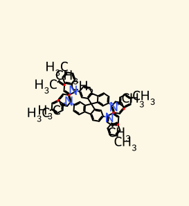 C=C/C(=C\C=C(C)C)N(c1ccc(C)cc1)c1ccc2c(c1)C1(c3cc(N(c4ccc(C)cc4)c4ccc(C)cc4)ccc3-2)c2cc(N(c3ccc(C)cc3)c3ccc(C)cc3)ccc2-c2ccc(N(c3ccc(C)cc3)c3ccc(C)cc3)cc21